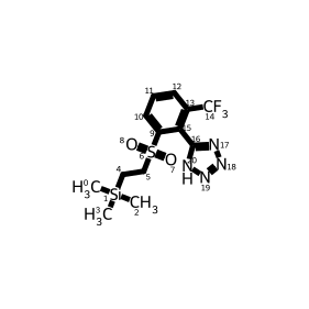 C[Si](C)(C)CCS(=O)(=O)c1cccc(C(F)(F)F)c1-c1nnn[nH]1